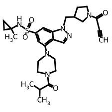 C#CC(=O)N1CCC(Cn2ncc3c(N4CCN(C(=O)C(C)C)CC4)cc(S(=O)(=O)NC4(C)CC4)cc32)C1